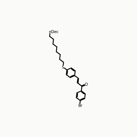 CCCCCCCCCCCCCCCCCCSc1ccc(C=CC(=O)c2ccc(Br)cc2)cc1